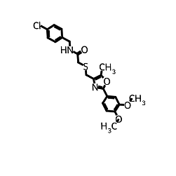 COc1ccc(-c2nc(CSCC(=O)NCc3ccc(Cl)cc3)c(C)o2)cc1OC